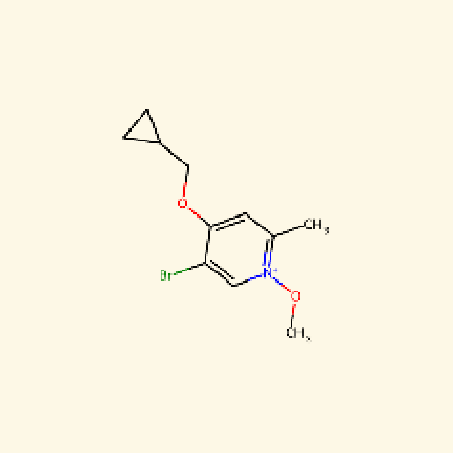 CO[n+]1cc(Br)c(OCC2CC2)cc1C